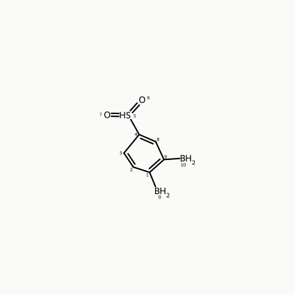 Bc1ccc([SH](=O)=O)cc1B